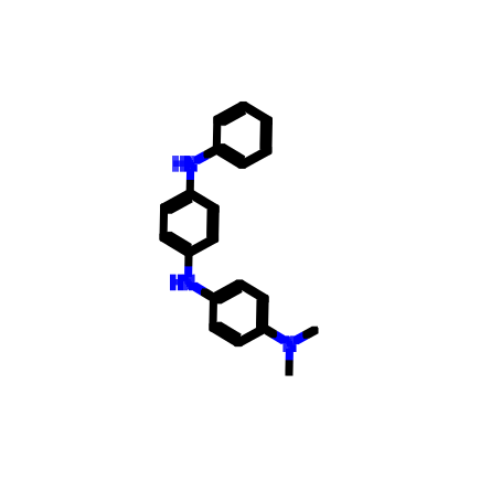 CN(C)c1ccc(Nc2ccc(Nc3ccccc3)cc2)cc1